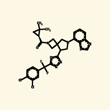 CC1(C)C[C@@H]1C(=O)N1CC2(C1)CN(c1cccc3ncsc13)CC2c1nnc(C(F)(F)c2ccc(Cl)c(Cl)c2)o1